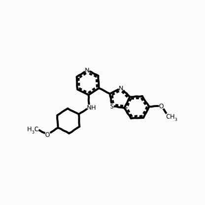 COc1ccc2sc(-c3cnccc3NC3CCC(OC)CC3)nc2c1